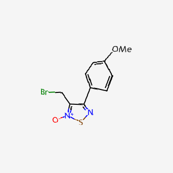 COc1ccc(-c2ns[n+]([O-])c2CBr)cc1